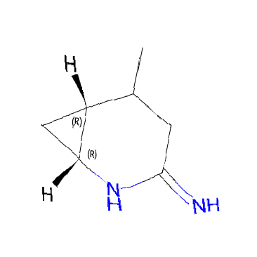 CC1CC(=N)N[C@@H]2C[C@H]12